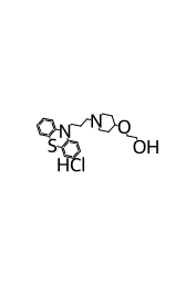 Cl.OCCOC1CCN(CCCN2c3ccccc3Sc3ccccc32)CC1